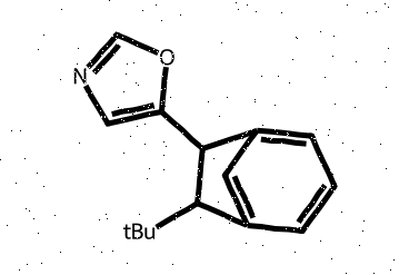 CC(C)(C)C1c2cccc(c2)C1c1cnco1